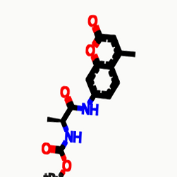 Cc1cc(=O)oc2cc(NC(=O)[C@H](C)NC(=O)OC(C)(C)C)ccc12